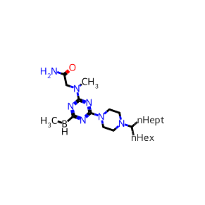 CBc1nc(N(C)CC(N)=O)nc(N2CCN(C(CCCCCC)CCCCCCC)CC2)n1